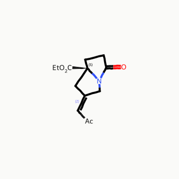 CCOC(=O)[C@@]12CCC(=O)N1C/C(=C\C(C)=O)C2